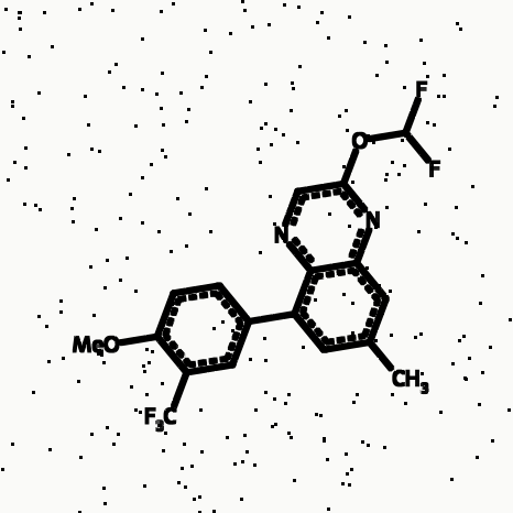 COc1ccc(-c2cc(C)cc3nc(OC(F)F)cnc23)cc1C(F)(F)F